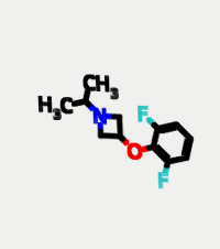 CC(C)N1CC(Oc2c(F)cccc2F)C1